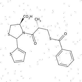 C[C@H](CSC(=O)c1ccccc1)C(=O)N1C(c2cccs2)SC[C@H]1C(=O)O